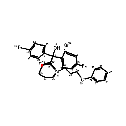 OC(c1ccc(F)cc1)(c1ccc(F)cc1)C1CC2CC[N+]1(CCCOc1ccccc1)CC2.[Br-]